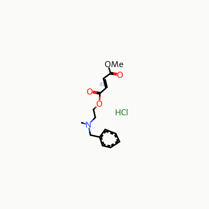 COC(=O)/C=C/C(=O)OCCN(C)Cc1ccccc1.Cl